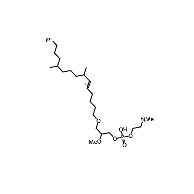 CNCCOP(=O)(O)OCC(COCCCC/C=C/C(C)CCCC(C)CCCC(C)C)OC